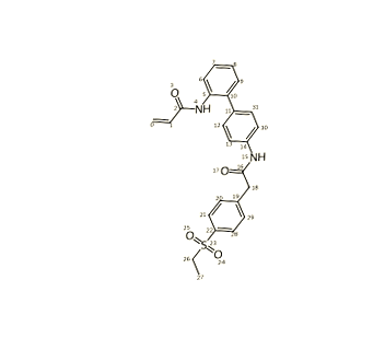 C=CC(=O)Nc1ccccc1-c1ccc(NC(=O)Cc2ccc(S(=O)(=O)CC)cc2)cc1